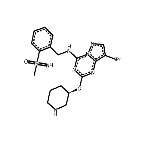 CC(C)c1cnn2c(NCc3ccccc3S(C)(=N)=O)nc(O[C@@H]3CCCNC3)nc12